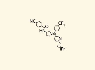 CC(C)OCc1ccc([C@@H](c2ccc(C(F)(F)F)cc2)N2CCC(NC(=O)c3ccc(C#N)cc3)C2)cn1